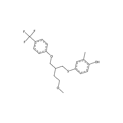 COCCC(COc1ccc(C(F)(F)F)cc1)CSc1ccc(O)c(C)c1